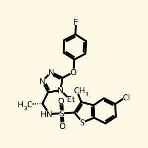 CCn1c(Oc2ccc(F)cc2)nnc1[C@@H](C)NS(=O)(=O)c1sc2ccc(Cl)cc2c1C